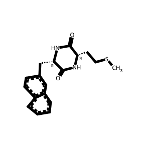 CSCC[C@@H]1NC(=O)[C@H](Cc2ccc3ccccc3c2)NC1=O